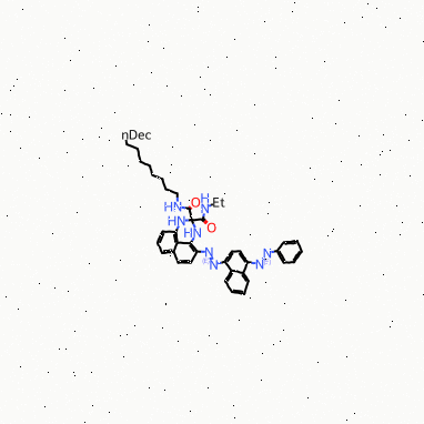 CCCCCCCCCCCCCCCCCCNC(=O)C1(C(=O)NCC)Nc2cccc3ccc(/N=N/c4ccc(/N=N/c5ccccc5)c5ccccc45)c(c23)N1